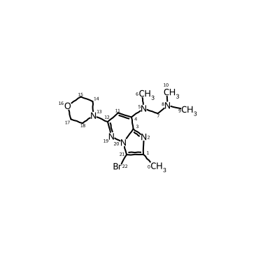 Cc1nc2c(N(C)CN(C)C)cc(N3CCOCC3)nn2c1Br